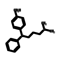 CN(C)CCCN(c1ccccc1)c1ccc(C(=O)O)cc1